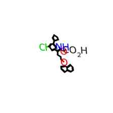 O=C(O)Oc1[nH]c2c(C3=CCCC3)cc(Cl)cc2c1CCCOc1cccc2ccccc12